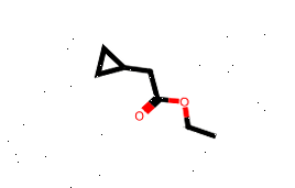 C[CH]OC(=O)CC1CC1